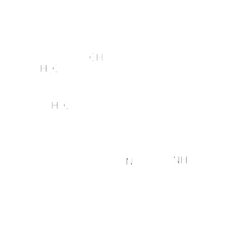 CC(C)(C)c1ccc2c(c1)N=CNC2